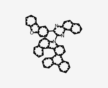 c1ccc2c(c1)ccc1nc(-c3ccc4oc5ccccc5c4c3)c(-n3c4ccc5ccccc5c4c4c5c6ccccc6c6ccccc6c5ccc43)nc12